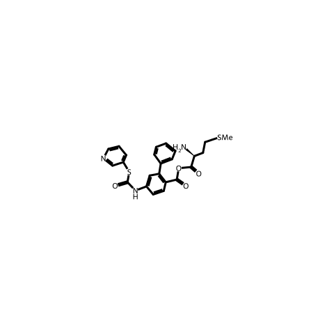 CSCC[C@H](N)C(=O)OC(=O)c1ccc(NC(=O)Sc2cccnc2)cc1-c1ccccc1